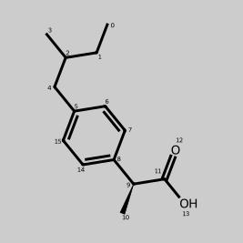 CCC(C)Cc1ccc([C@H](C)C(=O)O)cc1